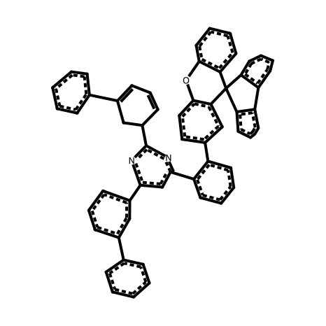 C1=CC(c2nc(-c3cccc(-c4ccccc4)c3)cc(-c3ccccc3-c3ccc4c(c3)C3(c5ccccc5O4)c4ccccc4-c4ccccc43)n2)CC(c2ccccc2)=C1